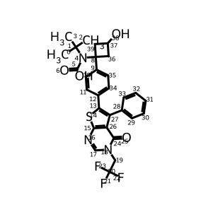 CC(C)(C)N(C(=O)O)C1(c2ccc(-c3sc4ncn(CC(F)(F)F)c(=O)c4c3-c3ccccc3)cc2)CC(O)C1